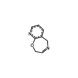 C1=NCc2cccnc2OC1